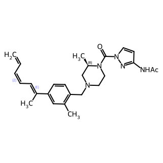 C=C/C=C\C=C(/C)c1ccc(CN2CCN(C(=O)n3ccc(NC(C)=O)n3)[C@H](C)C2)c(C)c1